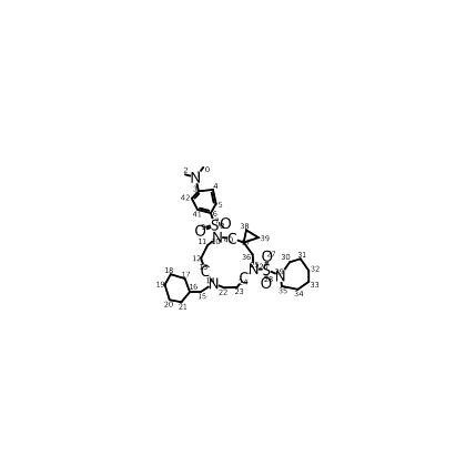 CN(C)c1ccc(S(=O)(=O)N2CCCN(CC3CCCCC3)CCCN(S(=O)(=O)N3CCCCCC3)CC3(CC3)C2)cc1